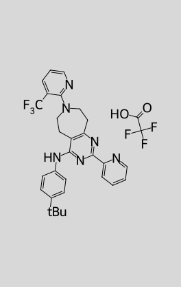 CC(C)(C)c1ccc(Nc2nc(-c3ccccn3)nc3c2CCN(c2ncccc2C(F)(F)F)CC3)cc1.O=C(O)C(F)(F)F